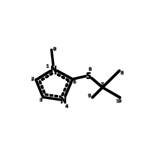 Cn1ccnc1SC(C)(C)C